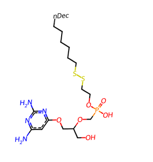 CCCCCCCCCCCCCCCCSSCCOP(=O)(O)COC(CO)COc1cc(N)nc(N)n1